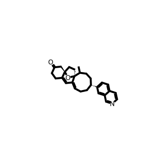 CC1CC[C@H](c2ccc3ccncc3c2)CC/C=C2/C=C3CCC(=O)C[C@]34CC[C@@]21O4